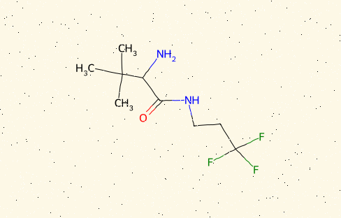 CC(C)(C)C(N)C(=O)NCCC(F)(F)F